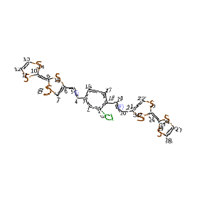 Clc1cc(/C=C/C2=CSC(=C3SC=CS3)S2)ccc1/C=C/C1=CSC(=C2SC=CS2)S1